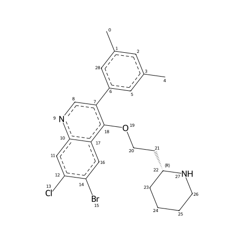 Cc1cc(C)cc(-c2cnc3cc(Cl)c(Br)cc3c2OCC[C@H]2CCCCN2)c1